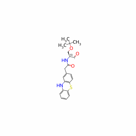 CC(C)(C)OC[C@@H]([C]=O)NC(=O)Cc1ccc2c(c1)Nc1ccccc1S2